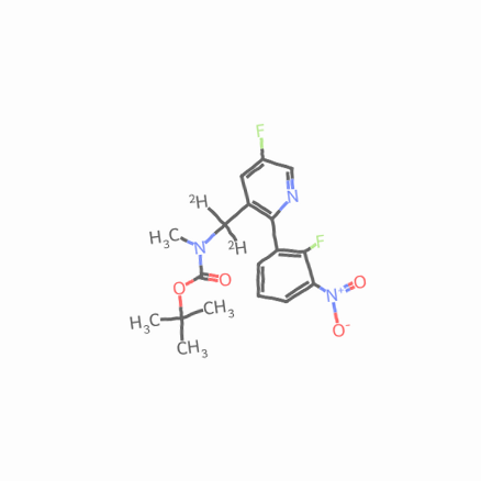 [2H]C([2H])(c1cc(F)cnc1-c1cccc([N+](=O)[O-])c1F)N(C)C(=O)OC(C)(C)C